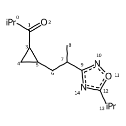 CC(C)C(=O)C1CC1CC(C)c1noc(C(C)C)n1